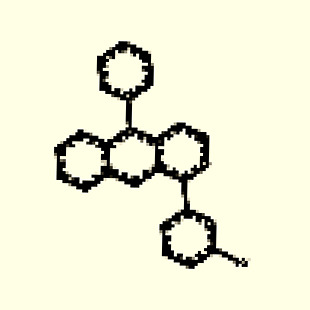 Brc1cccc(-c2cccc3c(-c4ccccc4)c4ccccc4cc23)c1